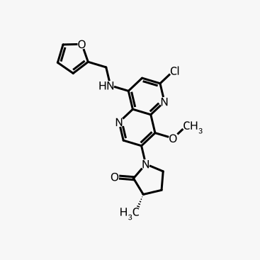 COc1c(N2CC[C@H](C)C2=O)cnc2c(NCc3ccco3)cc(Cl)nc12